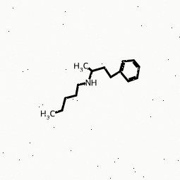 CCCCCNC(C)CCc1ccccc1